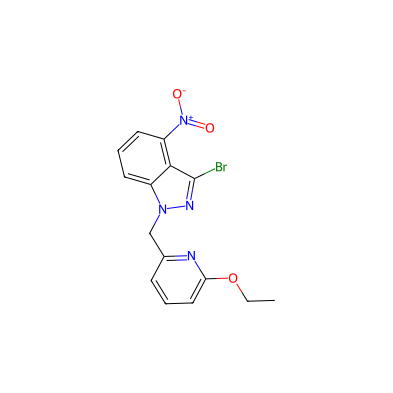 CCOc1cccc(Cn2nc(Br)c3c([N+](=O)[O-])cccc32)n1